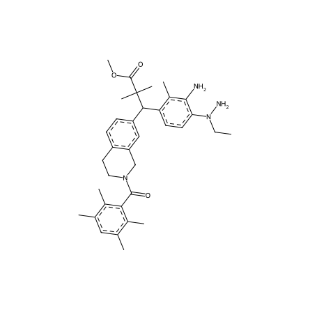 CCN(N)c1ccc(C(c2ccc3c(c2)CN(C(=O)c2c(C)c(C)cc(C)c2C)CC3)C(C)(C)C(=O)OC)c(C)c1N